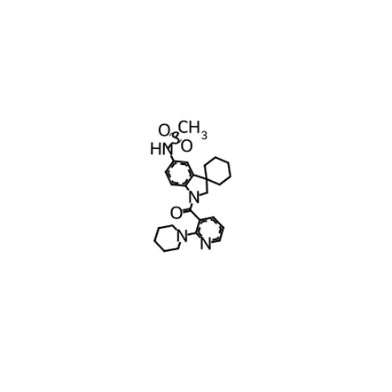 CS(=O)(=O)Nc1ccc2c(c1)C1(CCCCC1)CN2C(=O)c1cccnc1N1CCCCC1